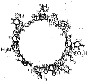 CC(C)C[C@@H]1NC(=O)C2CCCCCCC(NC(=O)[C@H](Cc3cn(CC(=O)O)c4cc(F)ccc34)NC(=O)[C@H](CCN)NC(=O)[C@H](Cc3c[nH]c4ccccc34)NC(=O)[C@@H]3C[C@@H](O)CN3C(=O)[C@H](CN(C)C)NC(=O)CNC(=O)[C@H]3CCCN3C(=O)[C@@H](CC(N)=O)NC(=O)[C@@H]3CCCN3C(=O)[C@H](Cc3ccc(O)cc3)NC(=O)CSCC(C(=O)NCC(N)=O)N(C)C1=O)C(=O)N2C